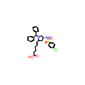 O=C(O)CCCC=C[C@@H]1C[C@@H](NS(=O)(=O)c2ccc(Cl)cc2)CN1C(c1ccccc1)c1ccccc1